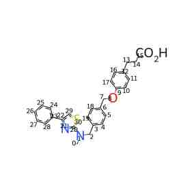 CN(Cc1ccc(COc2ccc(CCC(=O)O)cc2)cc1)c1nc(-c2ccccc2)cs1